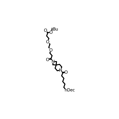 CCCCCCCCCCCCCCCC(=O)N1CCC2(CC1)CN(C(=O)CCOCCOCCC(=O)OC(C)(C)C)C2